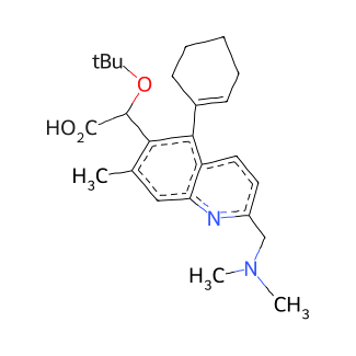 Cc1cc2nc(CN(C)C)ccc2c(C2=CCCCC2)c1C(OC(C)(C)C)C(=O)O